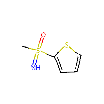 CS(=N)(=O)c1cccs1